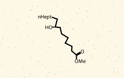 CCCCCCCC[C@H](O)CCCCCCC(=O)OC